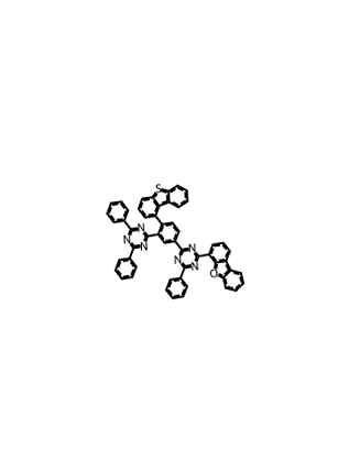 c1ccc(-c2nc(-c3ccccc3)nc(-c3cc(-c4nc(-c5ccccc5)nc(-c5cccc6c5oc5ccccc56)n4)ccc3-c3cccc4sc5ccccc5c34)n2)cc1